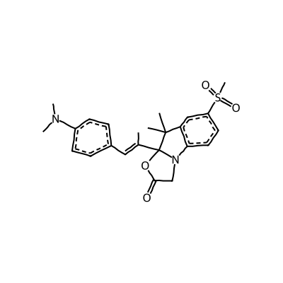 C/C(=C\c1ccc(N(C)C)cc1)C12OC(=O)CN1c1ccc(S(C)(=O)=O)cc1C2(C)C